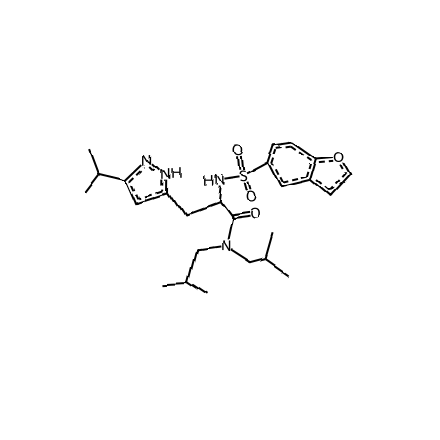 CC(C)CN(CC(C)C)C(=O)C(Cc1cc(C(C)C)n[nH]1)NS(=O)(=O)c1ccc2occc2c1